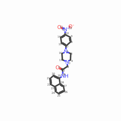 O=C(CN1CCN(c2ccc([N+](=O)[O-])cc2)CC1)Nc1cccc2ccccc12